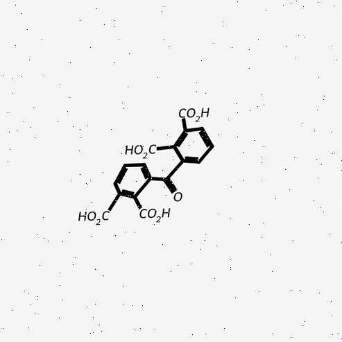 O=C(O)c1cccc(C(=O)c2cccc(C(=O)O)c2C(=O)O)c1C(=O)O